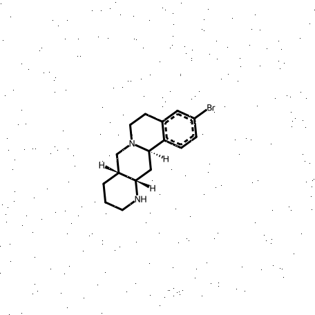 Brc1ccc2c(c1)CCN1C[C@H]3CCCN[C@H]3C[C@H]21